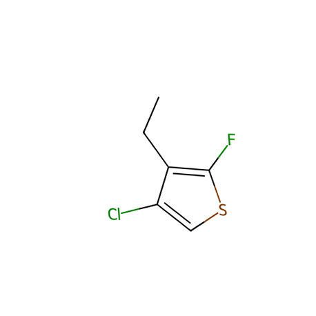 CCc1c(Cl)csc1F